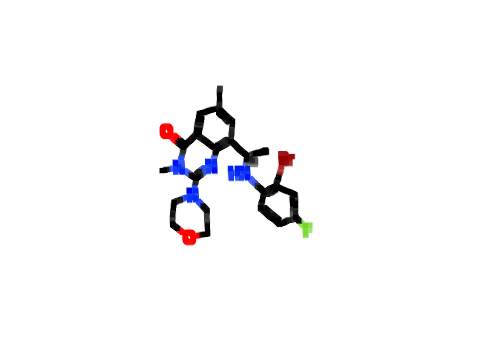 Cc1cc([C@@H](C)Nc2ccc(F)cc2Br)c2nc(N3CCOCC3)n(C)c(=O)c2c1